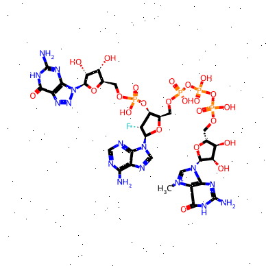 C[n+]1cn([C@@H]2O[C@H](COP(=O)(O)OP(=O)(O)OP(=O)(O)OC[C@H]3O[C@@H](n4cnc5c(N)ncnc54)[C@H](F)[C@@H]3OP(=O)(O)OC[C@H]3O[C@@H](n4nnc5c(=O)[nH]c(N)nc54)[C@H](O)[C@@H]3O)[C@@H](O)[C@H]2O)c2nc(N)[nH]c(=O)c21